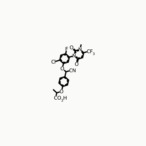 CC(Oc1ccc(C(C#N)Oc2cc(-n3c(=O)cc(C(F)(F)F)n(C)c3=O)c(F)cc2Cl)cc1)C(=O)O